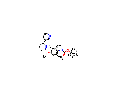 COc1cc(C)c2c(ccn2C(=O)OC(C)(C)C)c1CN1CCCCC1c1cccnc1